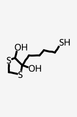 OC1SCSC1(O)CCCCS